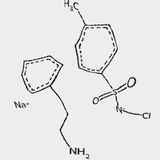 Cc1ccc(S(=O)(=O)[N-]Cl)cc1.NCCc1ccccc1.[Na+]